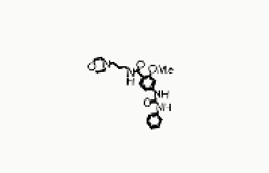 COc1cc(NC(=O)Nc2ccccc2)ccc1C(=O)NCCCN1CCOCC1